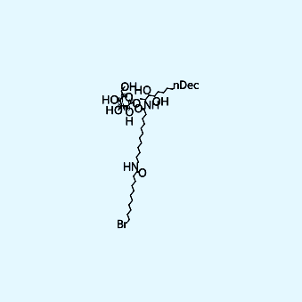 CCCCCCCCCCCCCCC(O)C(O)C(CO[C@H]1O[C@H](CO)[C@H](O)[C@H](O)[C@H]1O)NC(=O)CCCCCCCCCCCNC(=O)CCCCCCCCCCBr